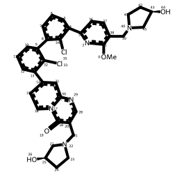 COc1nc(-c2cccc(-c3cccc(-c4ccn5c(=O)c(CN6CC[C@@H](O)C6)cnc5c4)c3Cl)c2Cl)ccc1CN1CC[C@@H](O)C1